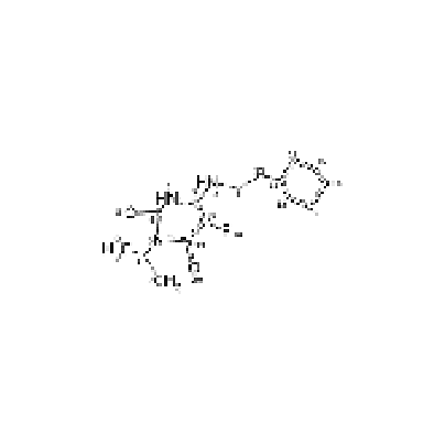 CC(C)n1c(=O)[nH]c(NCCc2ccccc2)c(F)c1=O